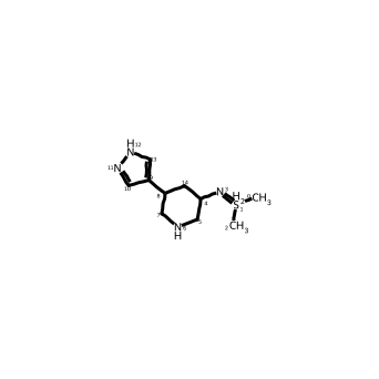 C[SH2](C)=NC1CNCC(c2cn[nH]c2)C1